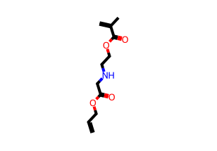 C=CCOC(=O)CNCCOC(=O)C(=C)C